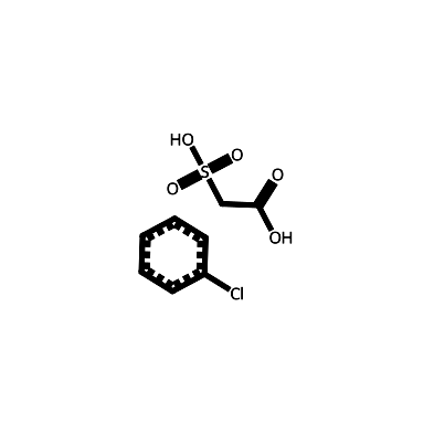 Clc1ccccc1.O=C(O)CS(=O)(=O)O